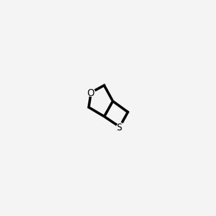 C1OCC2SCC12